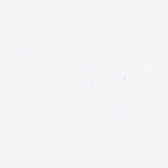 N#Cc1cncc(-c2cnn(-c3cnn4ccc(=O)[nH]c34)c2)c1